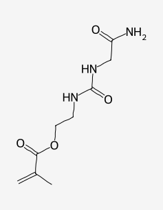 C=C(C)C(=O)OCCNC(=O)NCC(N)=O